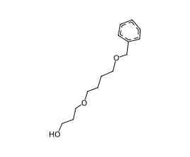 OCCCOCCCCOCc1ccccc1